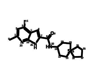 Cc1cc(F)c2cc(C(=O)NC3CC[Si]4(CCCC4)CC3)[nH]c2n1